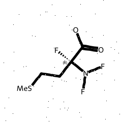 CSCC[C@@](F)(C([O])=O)N(F)F